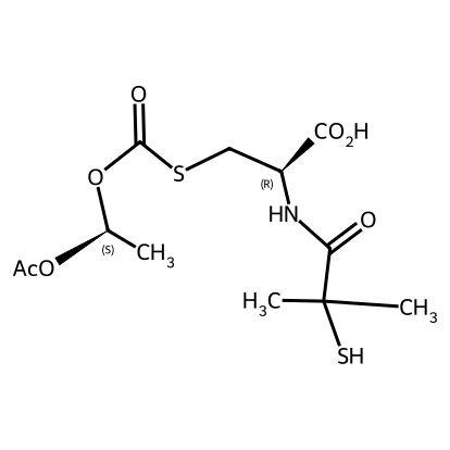 CC(=O)O[C@H](C)OC(=O)SC[C@H](NC(=O)C(C)(C)S)C(=O)O